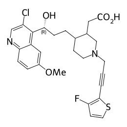 COc1ccc2ncc(Cl)c([C@H](O)CCC3CCN(CC#Cc4sccc4F)CC3CC(=O)O)c2c1